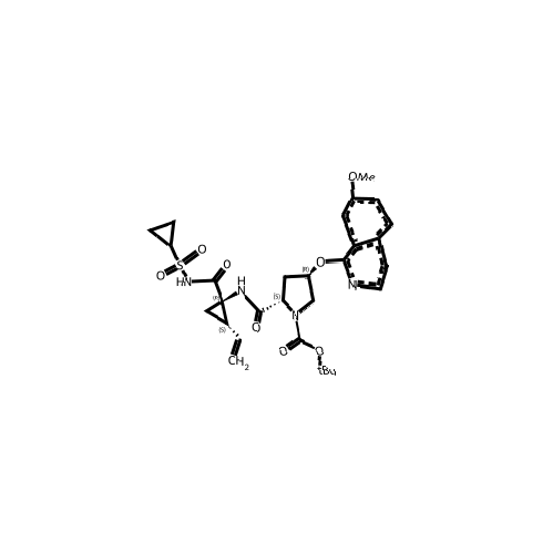 C=C[C@@H]1C[C@]1(NC(=O)[C@@H]1C[C@@H](Oc2nccc3ccc(OC)cc23)CN1C(=O)OC(C)(C)C)C(=O)NS(=O)(=O)C1CC1